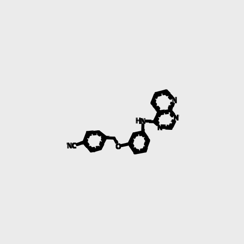 N#Cc1ccc(COc2cccc(Nc3ncnc4ncccc34)c2)cc1